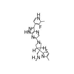 Cc1csc([C@]2(CN)[C@@H]3CN(c4cnc5c(C6=C(F)C(C)NC=C6)n[nH]c5n4)C[C@@H]32)n1